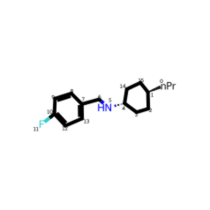 CCC[C@H]1CC[C@H](NCc2ccc(F)cc2)CC1